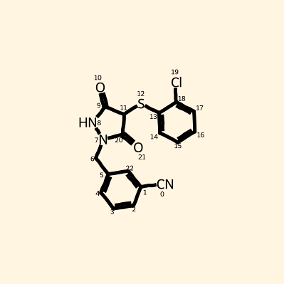 N#Cc1cccc(CN2NC(=O)C(Sc3ccccc3Cl)C2=O)c1